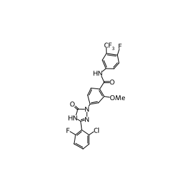 COc1cc(-n2nc(-c3c(F)cccc3Cl)[nH]c2=O)ccc1C(=O)Nc1ccc(F)c(C(F)(F)F)c1